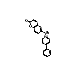 O=c1ccc2cc(C[n+]3ccc(-c4ccccc4)cc3)ccc2o1.[Br-]